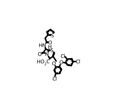 O=C(Cc1cccs1)NC1C(=O)N2C(C(=O)O)C(COc3cc(Cl)ccc3Oc3ccc(Cl)cc3Cl)=CS[C@@H]12